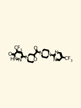 O=C(C1CN(c2cc(C(F)(F)F)c(=O)[nH]n2)CCO1)N1CCN(c2ncc(C(F)(F)F)cn2)CC1